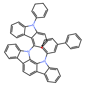 C1=CC(n2c3ccccc3c3c(-n4c5ccccc5c5ccc6c7ccccc7n(-c7cccc(-c8ccccc8)c7)c6c54)cccc32)=CCC1